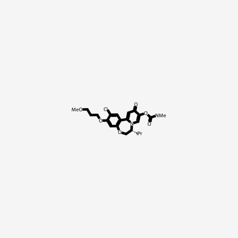 CNC(=O)Oc1cn2c(cc1=O)-c1cc(Cl)c(OCCCOC)cc1OC[C@H]2C(C)C